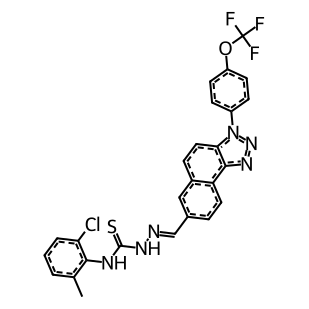 Cc1cccc(Cl)c1NC(=S)NN=Cc1ccc2c(ccc3c2nnn3-c2ccc(OC(F)(F)F)cc2)c1